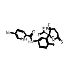 O=C(Nc1ccc(F)c([C@@]2(C(F)F)NC(=S)CCC2(F)F)c1)C1C=CC(Br)=CN1